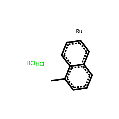 Cc1cccc2ccccc12.Cl.Cl.[Ru]